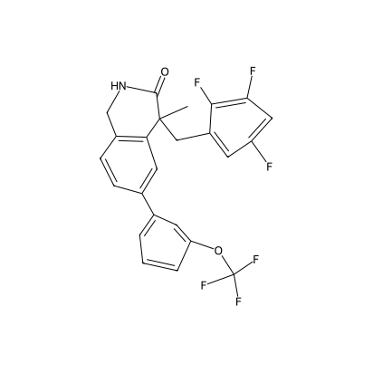 CC1(Cc2cc(F)cc(F)c2F)C(=O)NCc2ccc(-c3cccc(OC(F)(F)F)c3)cc21